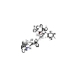 COC(=O)C1=C(C(=O)OC)C2(Cc3ccccc3)C=C(COC(=O)[C@@H]3[C@H](/C=C(/Cl)C(F)(F)F)C3(C)C)C1O2